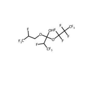 OC(OCC(F)C(F)(F)F)(OC(F)(F)C(F)(F)C(F)(F)F)C(F)C(F)(F)F